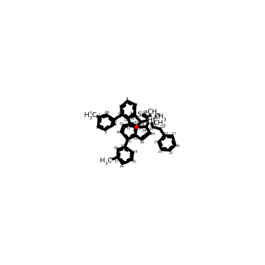 Cc1cccc(-c2cccc3c2C=C[CH]3[Hf]([CH3])([CH3])([CH3])(=[SiH2])([CH2]Cc2ccccc2)[CH]2C=Cc3c(-c4cccc(C)c4)cccc32)c1